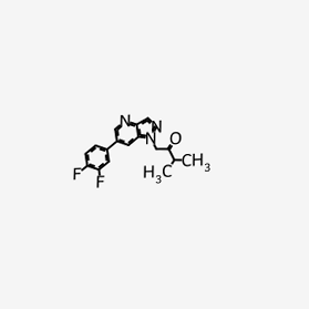 CC(C)C(=O)Cn1ncc2ncc(-c3ccc(F)c(F)c3)cc21